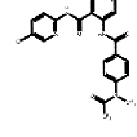 CN(C(=O)C(F)(F)F)c1ccc(C(=O)Nc2ccccc2C(=O)Nc2ccc(Cl)cn2)cc1